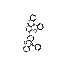 c1ccc(N2c3ccccc3Oc3cc(-c4ccc5c6c4Oc4ccccc4B6c4ccccc4O5)ccc32)cc1